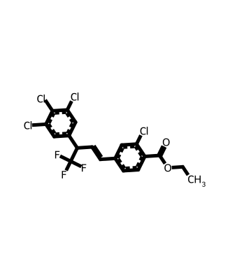 CCOC(=O)c1ccc(/C=C/C(c2cc(Cl)c(Cl)c(Cl)c2)C(F)(F)F)cc1Cl